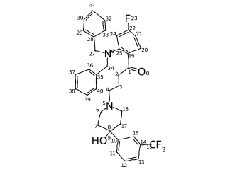 O=C(CCCN1CCC(O)(c2cccc(C(F)(F)F)c2)CC1)c1ccc(F)cc1N(Cc1ccccc1)Cc1ccccc1